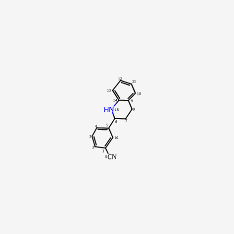 N#Cc1cccc(C2CCc3ccccc3N2)c1